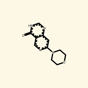 O=c1[nH]cnc2cc(N3CCOCC3)ncc12